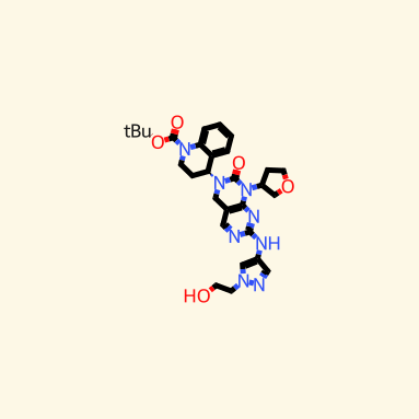 CC(C)(C)OC(=O)N1CC[C@@H](N2Cc3cnc(Nc4cnn(CCO)c4)nc3N(C3CCOC3)C2=O)c2ccccc21